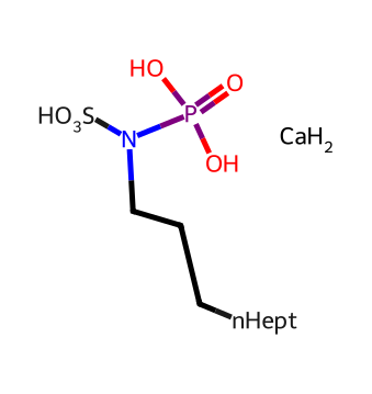 CCCCCCCCCCN(P(=O)(O)O)S(=O)(=O)O.[CaH2]